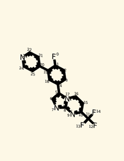 Fc1ccc(-c2cnc3nc(C(F)(F)F)ccn23)cc1-c1ccncc1